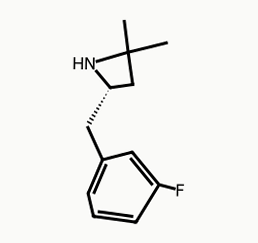 CC1(C)C[C@H](Cc2cccc(F)c2)N1